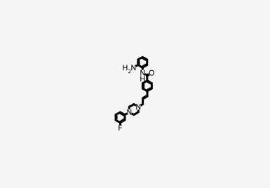 Nc1ccccc1NC(=O)c1ccc(C=CCN2CCN(c3cccc(F)c3)CC2)cc1